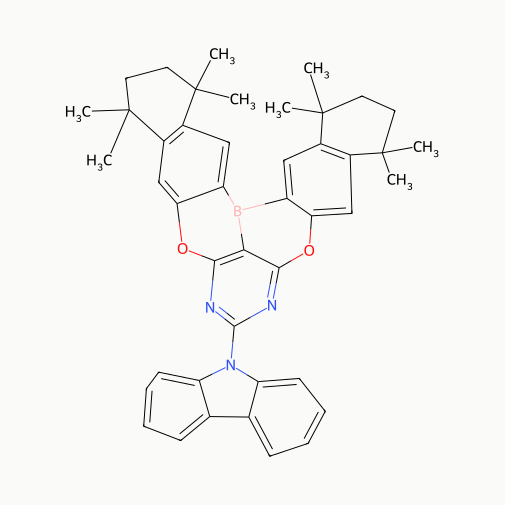 CC1(C)CCC(C)(C)c2cc3c(cc21)Oc1nc(-n2c4ccccc4c4ccccc42)nc2c1B3c1cc3c(cc1O2)C(C)(C)CCC3(C)C